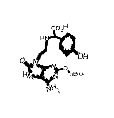 CCCCOc1nc(N)c2[nH]c(=O)n(CCNC(C(=O)O)c3ccc(O)cc3)c2n1